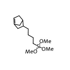 CO[Si](CCCCC1CC2=CCC1C2)(OC)OC